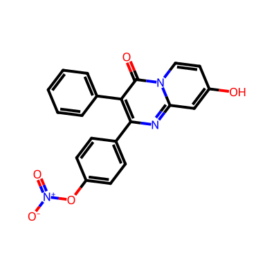 O=c1c(-c2ccccc2)c(-c2ccc(O[N+](=O)[O-])cc2)nc2cc(O)ccn12